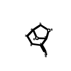 S=C1CCC2COC1O2